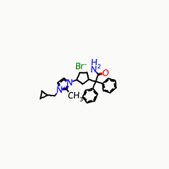 Cc1n(C2CCC(C(C(N)=O)(c3ccccc3)c3ccccc3)C2)cc[n+]1CC1CC1.[Br-]